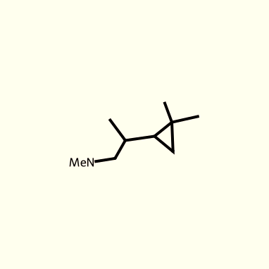 CNCC(C)C1CC1(C)C